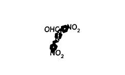 O=CC(c1ccc([N+](=O)[O-])cc1)N1CCN(CCc2ccc([N+](=O)[O-])cc2)CC1